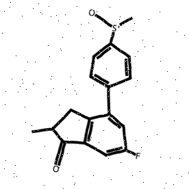 CC1Cc2c(cc(F)cc2-c2ccc([S+](C)[O-])cc2)C1=O